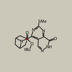 CSc1nc(N2CC3CC(C2)N3C(=O)OC(C)(C)C)c2cn[nH]c(=O)c2n1